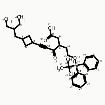 CCC(CC)CC1CC(C#CC(=O)C(CCO[Si](c2ccccc2)(c2ccccc2)C(C)(C)C)CC(=O)O)C1